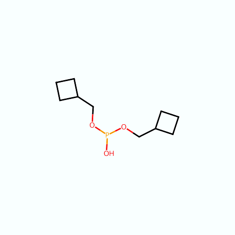 OP(OCC1CCC1)OCC1CCC1